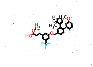 CC[C@@H](CC(=O)O)c1cc(OCc2ccc(-c3cc(OC)ccc3F)c(C3=CCCC3(C)C)c2)cc(C(F)(F)F)c1